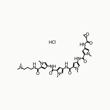 CN(C)CCCNC(=O)c1cc(NC(=O)c2cc(NC(=O)c3cc(NC(=O)c4cc(NC(=O)C5CO5)cn4C)cn3C)cn2C)cn1C.Cl